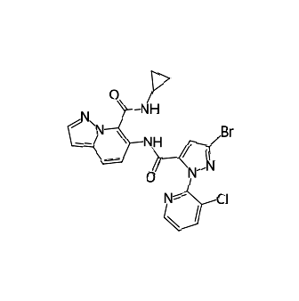 O=C(Nc1ccc2ccnn2c1C(=O)NC1CC1)c1cc(Br)nn1-c1ncccc1Cl